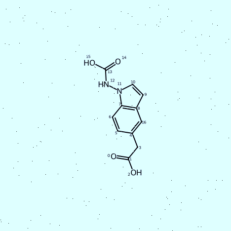 O=C(O)Cc1ccc2c(ccn2NC(=O)O)c1